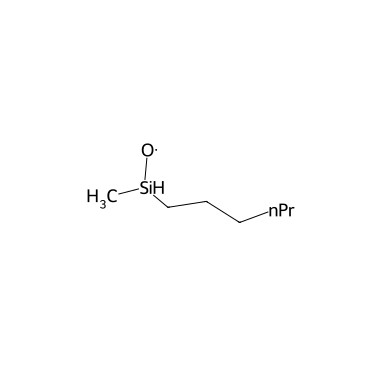 CCCCCC[SiH](C)[O]